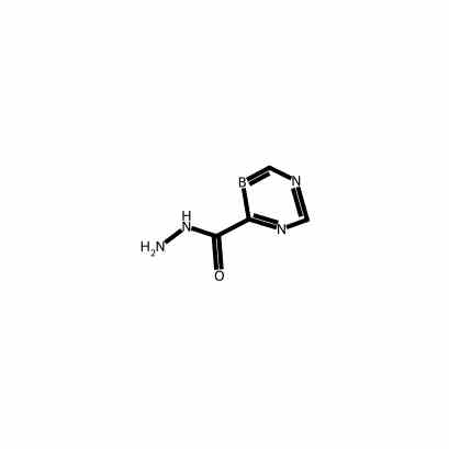 NNC(=O)c1bcncn1